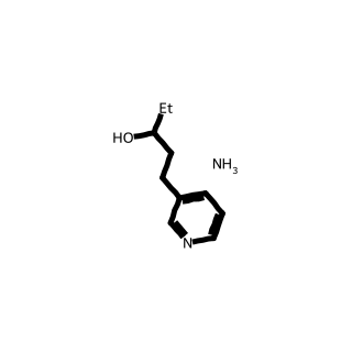 CCC(O)CCc1cccnc1.N